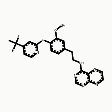 CC(C)Oc1cc(CCNc2ncnc3nccnc23)ccc1Oc1cc(C(C)(F)F)ccn1